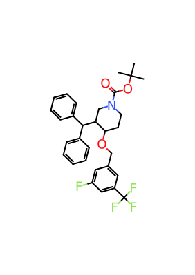 CC(C)(C)OC(=O)N1CCC(OCc2cc(F)cc(C(F)(F)F)c2)C(C(c2ccccc2)c2ccccc2)C1